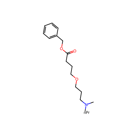 CCCN(C)CCCOCCCC(=O)OCc1ccccc1